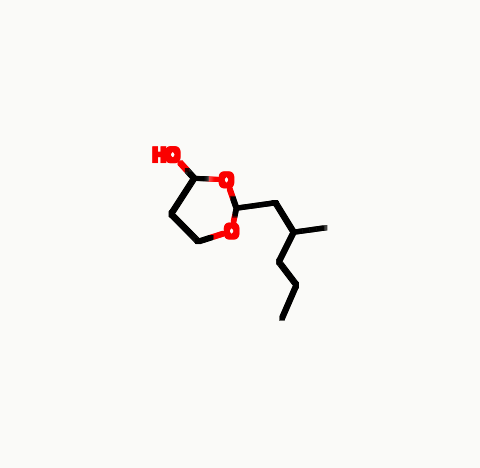 CCCC(C)CC1OCCC(O)O1